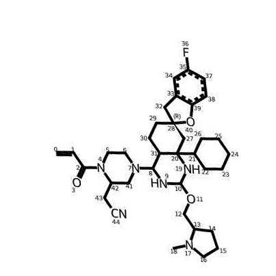 C=CC(=O)N1CCN(C2NC(OCC3CCCN3C)NC3(C4CCCCC4)C[C@@]4(CCC23)Cc2cc(F)ccc2O4)CC1CC#N